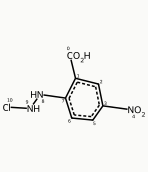 O=C(O)c1cc([N+](=O)[O-])ccc1NNCl